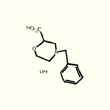 O=C(O)C1CN(Cc2ccccc2)CCO1.[LiH]